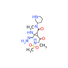 C[C@H](NS(C)(=O)=O)C(=O)C1[C@H](C(=O)N(C)C2CCCNC2)C1([NH])C=NN